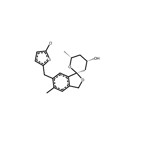 Cc1cc2c(cc1Cc1ccc(Cl)s1)[C@]1(C[C@@H](O)C[C@@H](C)O1)OC2